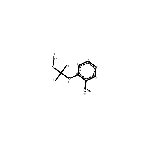 CCSC(C)(C)Sc1ccccc1OC(C)=O